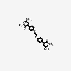 NC(=O)CC(C(N)=O)c1ccc(OCCOc2ccc(C(CC(N)=O)C(N)=O)cc2)cc1